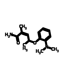 CC(=CC(C)Oc1ccccc1N(C)C)C(N)=O